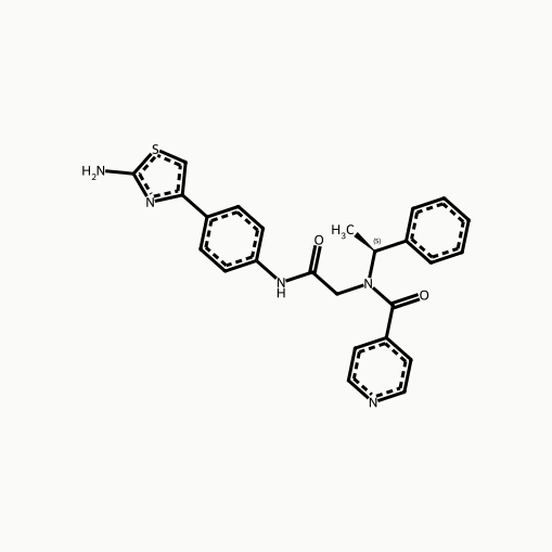 C[C@@H](c1ccccc1)N(CC(=O)Nc1ccc(-c2csc(N)n2)cc1)C(=O)c1ccncc1